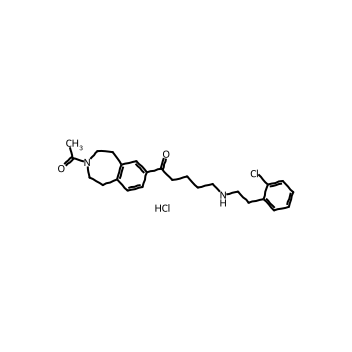 CC(=O)N1CCc2ccc(C(=O)CCCCNCCc3ccccc3Cl)cc2CC1.Cl